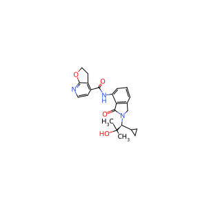 CC(C)(O)[C@H](C1CC1)N1Cc2cccc(NC(=O)c3ccnc4c3CCO4)c2C1=O